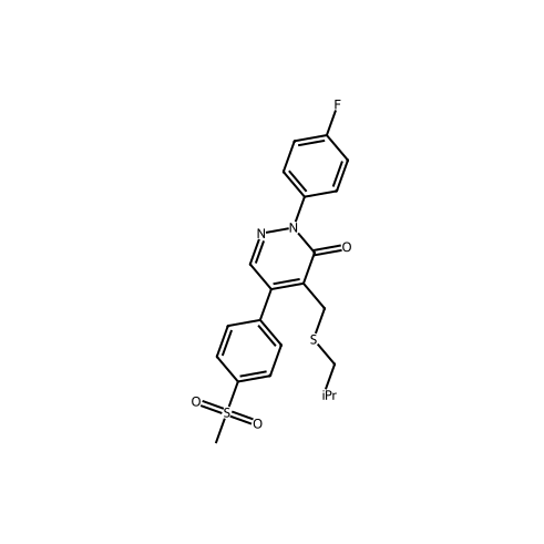 CC(C)CSCc1c(-c2ccc(S(C)(=O)=O)cc2)cnn(-c2ccc(F)cc2)c1=O